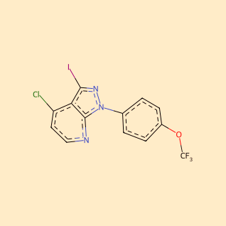 FC(F)(F)Oc1ccc(-n2nc(I)c3c(Cl)ccnc32)cc1